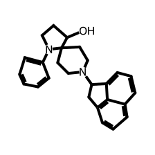 OC1CCN(c2ccccc2)C12CCN(C1Cc3cccc4cccc1c34)CC2